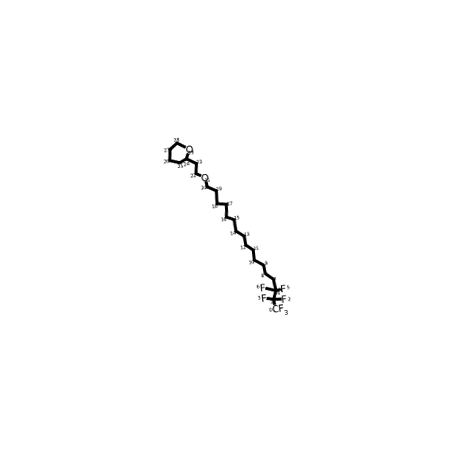 FC(F)(F)C(F)(F)C(F)(F)CCCCCCCCCCCCCCOCCC1CCCCO1